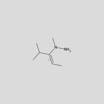 C/C=C(/C(C)C)N(C)N